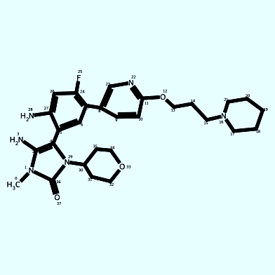 Cn1c(N)c(-c2cc(-c3ccc(OCCCN4CCCCC4)nc3)c(F)cc2N)n(C2CCOCC2)c1=O